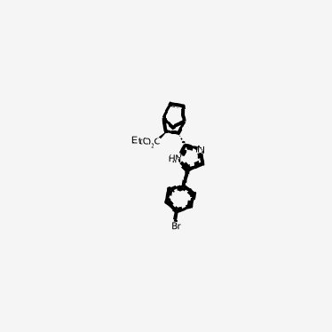 CCOC(=O)[C@H]1C2CCC(C2)[C@@H]1c1ncc(-c2ccc(Br)cc2)[nH]1